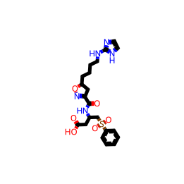 O=C(O)CC(CS(=O)(=O)c1ccccc1)NC(=O)C1=NOC(CCCCNc2ncc[nH]2)C1